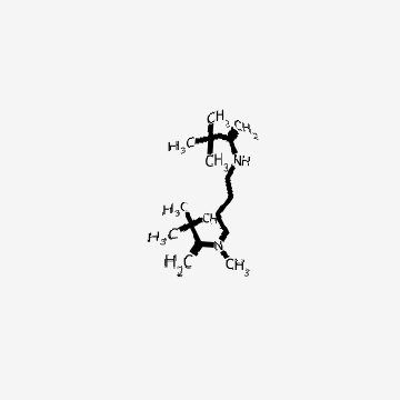 C=C(NCCCCN(C)C(=C)C(C)(C)C)C(C)(C)C